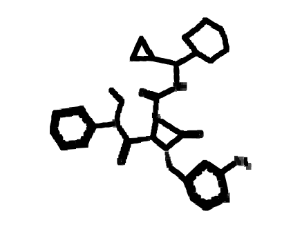 CCN(C(=O)[C@@H]1[C@@H](Cc2ccnc(N)c2)C(=O)N1C(=O)NC(C1CCCCC1)C1CC1)c1ccccc1